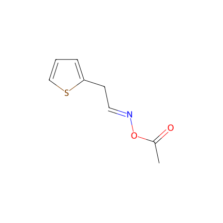 CC(=O)O/N=C/Cc1cccs1